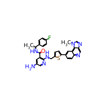 C[C@H](NC(=O)c1cc(N)cnc1NCc1ccc(-c2ccc3ncc4ncn(C)c4c3c2)s1)c1ccc(F)cc1